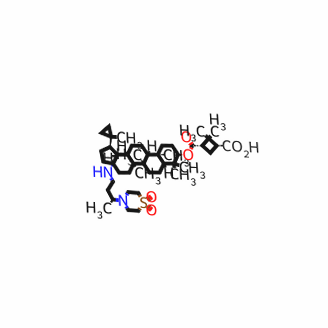 C[C@@H](CCN[C@]12CC[C@@H](C3(C)CC3)[C@@H]1[C@H]1CC[C@@H]3[C@@]4(C)CC[C@H](OC(=O)[C@H]5C[C@@H](C(=O)O)C5(C)C)C(C)(C)[C@@H]4CC[C@@]3(C)[C@]1(C)CC2)N1CCS(=O)(=O)CC1